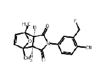 CC12C=CC(C)(O1)[C@H]1C(=O)N(c3ccc(C#N)c(CF)c3)C(=O)[C@H]12